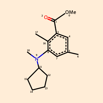 COC(=O)c1cc(C)cc(N(C)C2CCCC2)c1C